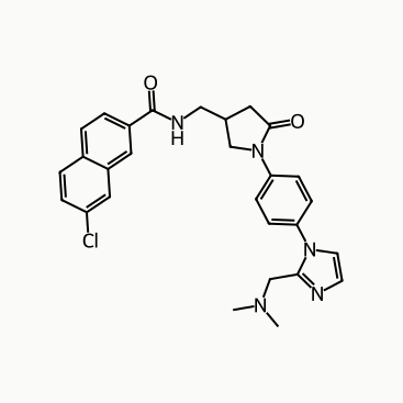 CN(C)Cc1nccn1-c1ccc(N2CC(CNC(=O)c3ccc4ccc(Cl)cc4c3)CC2=O)cc1